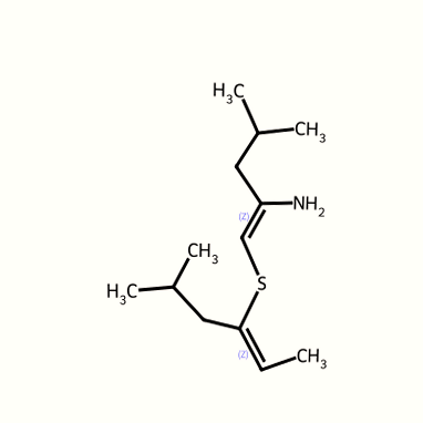 C/C=C(/CC(C)C)S/C=C(\N)CC(C)C